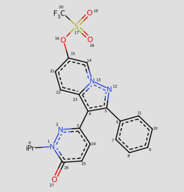 CC(C)n1nc(-c2c(-c3ccccc3)nn3cc(OS(=O)(=O)C(F)(F)F)ccc23)ccc1=O